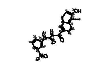 Cc1c(O)ccc2cc(C(=O)NC(=O)Nc3cccc([N+](=O)[O-])c3)ccc12